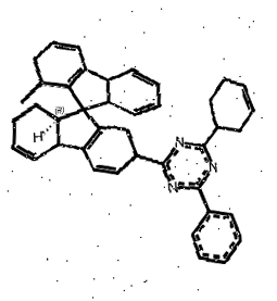 CC1CC=CC2=C1C1(C3=C(C=CC(c4nc(-c5ccccc5)nc(C5CC=CCC5)n4)C3)C3C=CCC[C@H]31)C1C=CC=CC21